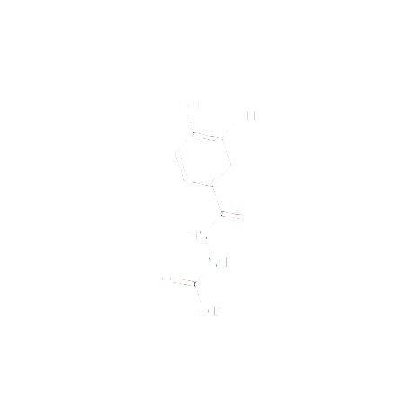 CC(C)COC(=O)NNC(=O)c1ccc(O)c(O)c1